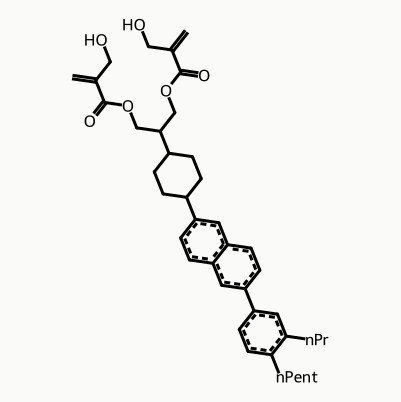 C=C(CO)C(=O)OCC(COC(=O)C(=C)CO)C1CCC(c2ccc3cc(-c4ccc(CCCCC)c(CCC)c4)ccc3c2)CC1